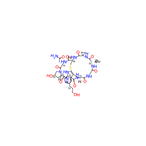 CC[C@H](C)[C@@H]1NC(=O)CNC(=O)[C@@H]2Cc3c([nH]c4ccccc34)SC[C@H](NC(=O)C3(CC3)NC1=O)C(=O)N[C@@H](CC(N)=O)C(=O)N1C[C@H](O)C[C@H]1C(=O)N[C@@H]([C@@H](C)CCO)C(=O)N2